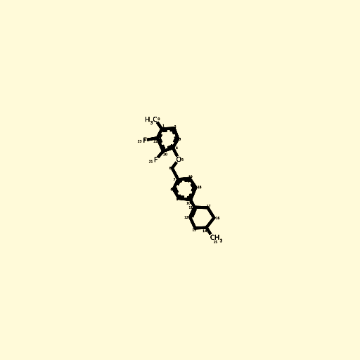 Cc1ccc(OCc2ccc(C3=CCC(C)CC3)cc2)c(F)c1F